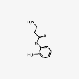 NCCC(=O)Nc1ccccc1N